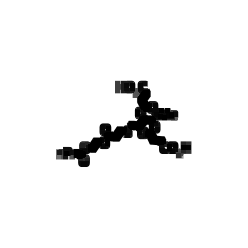 CCCC(=O)OCCOC(=O)CCSCC(OC(=O)CCC(=O)O)C(CSC)OC(=O)CCC(=O)O